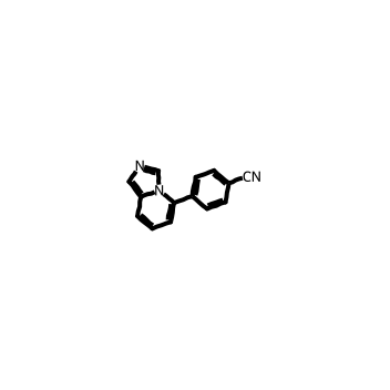 N#Cc1ccc(-c2cccc3cncn23)cc1